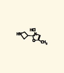 Cc1cnc(C2CNC2)o1.Cl